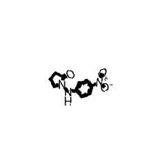 O=C1CCCN1Nc1ccc([N+](=O)[O-])cc1